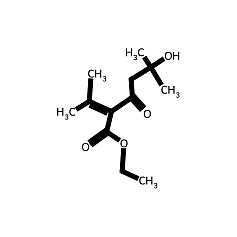 CCOC(=O)C(C(=O)CC(C)(C)O)=C(C)C